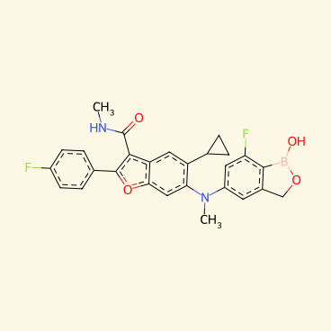 CNC(=O)c1c(-c2ccc(F)cc2)oc2cc(N(C)c3cc(F)c4c(c3)COB4O)c(C3CC3)cc12